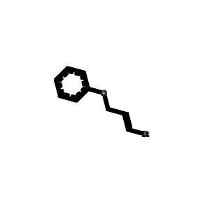 CCC=CCOc1c[c]ccc1